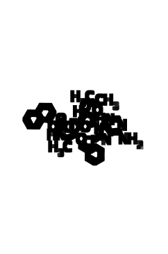 C[C@H](NP(=O)(OC[C@H]1O[C@@H](n2c(Cl)nc3c(N)ncnc32)[C@@H]2OC(C)(C)O[C@@H]21)Oc1cccc2ccccc12)C(=O)OCc1ccccc1